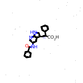 O=C(O)/C(=C/c1c[nH]c2ncc(NC(=O)c3ccccc3)cc12)c1ccccc1